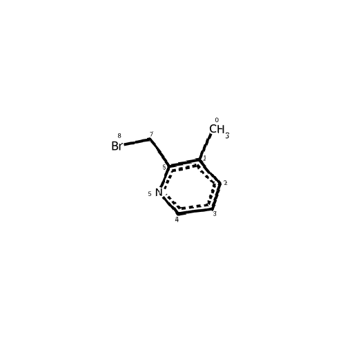 Cc1cccnc1CBr